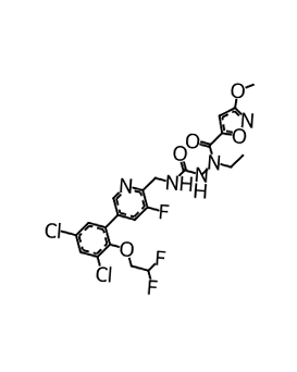 CCN(NC(=O)NCc1ncc(-c2cc(Cl)cc(Cl)c2OCC(F)F)cc1F)C(=O)c1cc(OC)no1